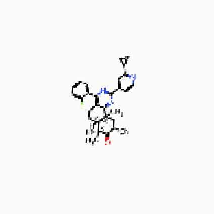 CC[C@@]1(C)C(=O)C(C#N)C[C@@]2(C)c3nc(-c4ccnc(C5CC5)c4)nc(-c4ccccc4F)c3CC[C@H]12